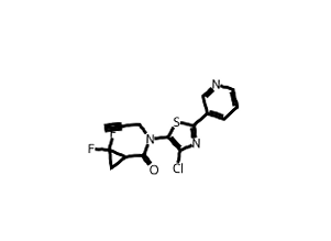 C#CCN(C(=O)C1CC1(F)F)c1sc(-c2cccnc2)nc1Cl